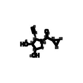 C#C[C@H]1[C@H](O)[C@H](O)CN1C(=O)C1CC1